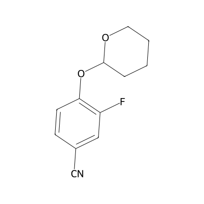 N#Cc1ccc(OC2CCCCO2)c(F)c1